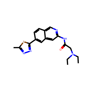 CCN(CC)CC(=O)Nc1cc2cc(-c3nnc(C)s3)ccc2cn1